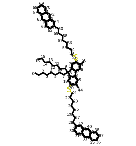 CCCCCCCCC1(CCCCCCCC)c2cc(SCCCCCCCCc3ccc4cc5ccccc5cc4c3)c(C)cc2-c2cc(C)c(SCCCCCCCCc3ccc4cc5ccccc5cc4c3)cc21